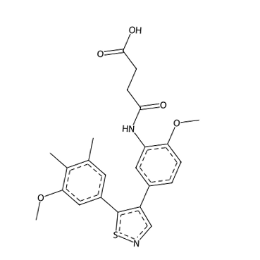 COc1ccc(-c2cnsc2-c2cc(C)c(C)c(OC)c2)cc1NC(=O)CCC(=O)O